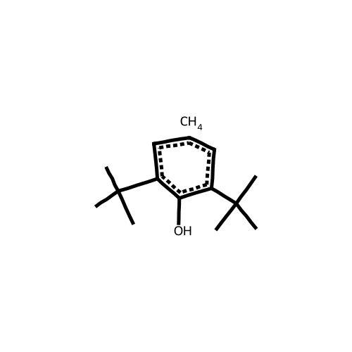 C.CC(C)(C)c1cccc(C(C)(C)C)c1O